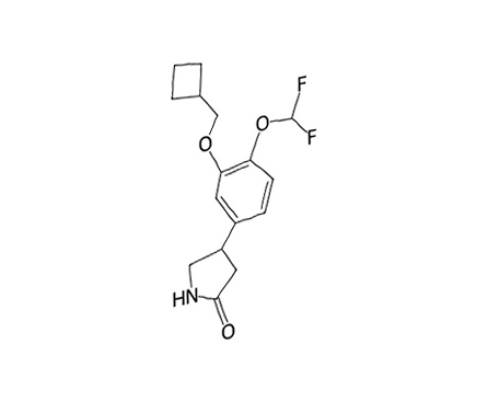 O=C1CC(c2ccc(OC(F)F)c(OCC3CCC3)c2)CN1